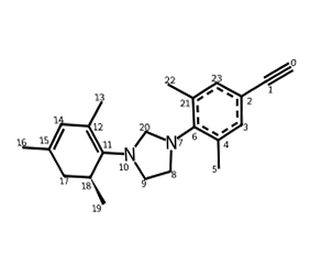 C#Cc1cc(C)c(N2CCN(C3=C(C)C=C(C)C[C@@H]3C)C2)c(C)c1